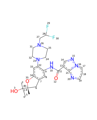 CC(C)(O)[C@@]1(C)Cc2cc(NC(=O)c3cnn4cccnc34)c(N3CCN(CC(F)F)CC3)cc2O1